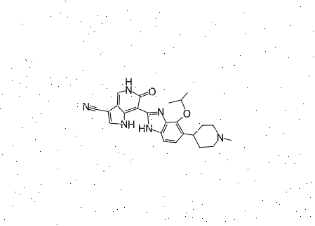 CC(C)Oc1c(C2CCN(C)CC2)ccc2[nH]c(-c3c(=O)[nH]cc4c(C#N)c[nH]c34)nc12